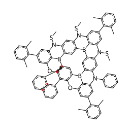 CSN1c2cc3c(cc2B2c4cccc(-c5ccccc5)c4Oc4cc(-c5c(C)cccc5C)cc1c42)B1c2cc4c(cc2N(SC)c2cc(-c5c(C)cccc5C)cc(c21)N3SC)N(c1ccccc1)c1cc(-c2c(C)cccc2C)cc2c1B4c1cccc(-c3ccccc3)c1O2